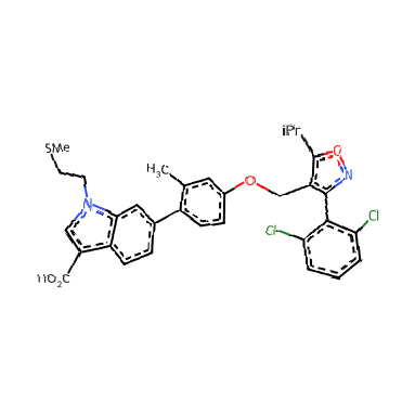 CSCCn1cc(C(=O)O)c2ccc(-c3ccc(OCc4c(-c5c(Cl)cccc5Cl)noc4C(C)C)cc3C)cc21